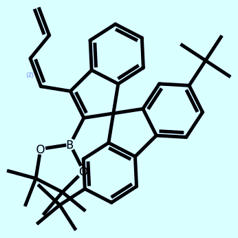 C=C/C=C\C1=C(B2OC(C)(C)C(C)(C)O2)C2(c3ccccc31)c1cc(C(C)(C)C)ccc1-c1ccc(C(C)(C)C)cc12